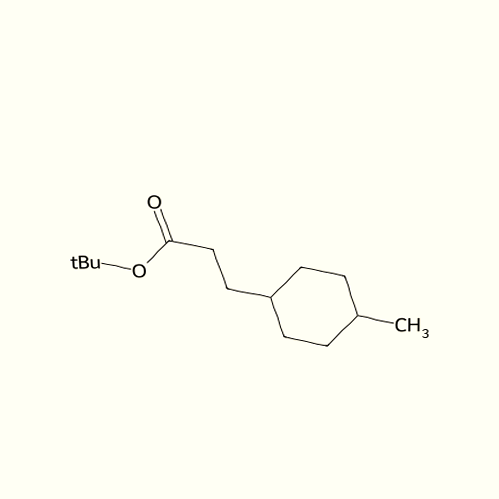 CC1CCC(CCC(=O)OC(C)(C)C)CC1